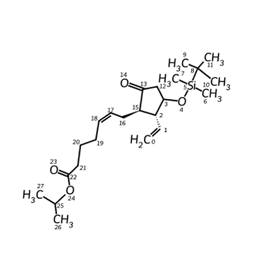 C=C[C@H]1C(O[Si](C)(C)C(C)(C)C)CC(=O)[C@@H]1C/C=C\CCCC(=O)OC(C)C